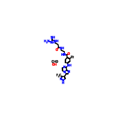 CCc1cc(Nc2nccn3c(-c4c[nH]nc4C(F)(F)F)cnc23)ccc1C(=O)NCCNC(=O)CCNC(=N)NN.O=CO